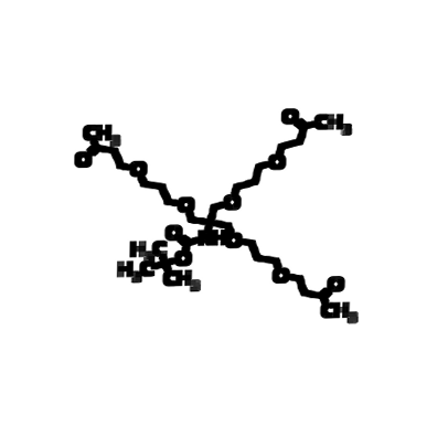 CC(=O)CCOCCCOCC(COCCCOCCC(C)=O)(COCCCOCCC(C)=O)NC(=O)OC(C)(C)C